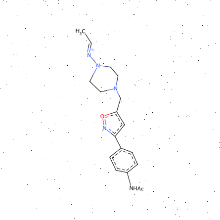 C/C=N/N1CCN(Cc2cc(-c3ccc(NC(C)=O)cc3)no2)CC1